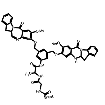 CCCCCC(=O)NCC(=O)NC(C)C(=O)Nc1cc(COc2cc3c(cc2OC)C(=O)N2c4ccccc4CC2C=N3)cc(COc2cc3c(cc2OC)C(=O)N2c4ccccc4CC2N3)c1